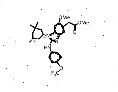 COC(=O)Cc1cc2nc(Nc3ccc(OC(F)(F)F)cc3)n([C@H]3C[C@@H](C)CC(C)(C)C3)c2cc1OC